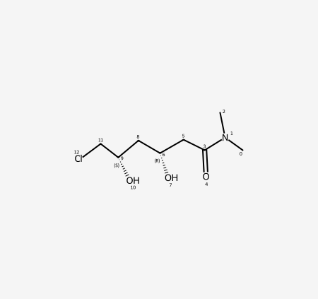 CN(C)C(=O)C[C@H](O)C[C@H](O)CCl